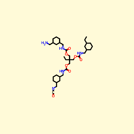 CCC1CCCC(CNC(=O)OCC(CC)(COC(=O)NCC2CCCC(CN)C2)COC(=O)NCC2CCCC(CN=C=O)C2)C1